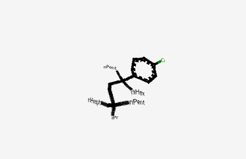 CCCCCCCC(CCCCC)(CC(CCCCC)(CCCCCC)c1ccc(Cl)cc1)C(C)C